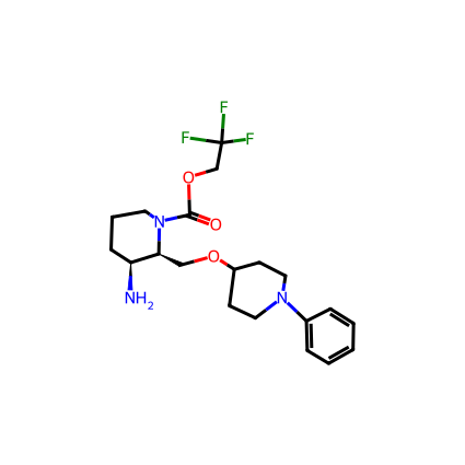 N[C@H]1CCCN(C(=O)OCC(F)(F)F)[C@H]1COC1CCN(c2ccccc2)CC1